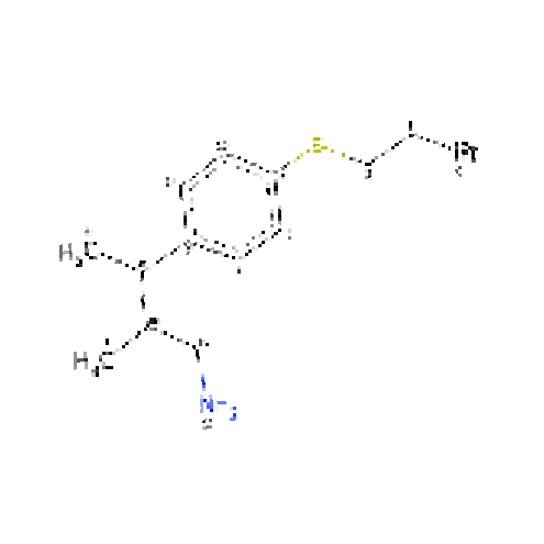 CC(C)CCSc1ccc(C(C)C(C)CN)cc1